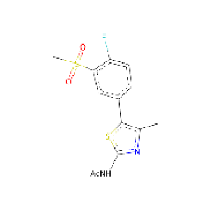 CC(=O)Nc1nc(C)c(-c2ccc(F)c(S(C)(=O)=O)c2)s1